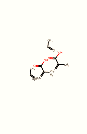 C=C(C)C(=O)O.C=C(C)C(=O)O.C=CC.C=CC